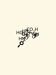 C#Cc1ccc([C@H](C)NC(=O)[C@@H]2C[C@@H](O)CN2C(=O)[C@H](NC(=O)O)C(C)(C)CCNS(C)(=O)=O)cc1